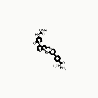 COC(=O)Nc1ccn(-c2ccnc3c2cc(CN2CCC(c4ccc(C(=O)N(C)C)cc4)CC2)n3C)c(=O)c1